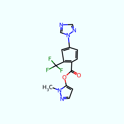 Cn1nccc1OC(=O)c1ccc(-n2cncn2)cc1C(F)(F)F